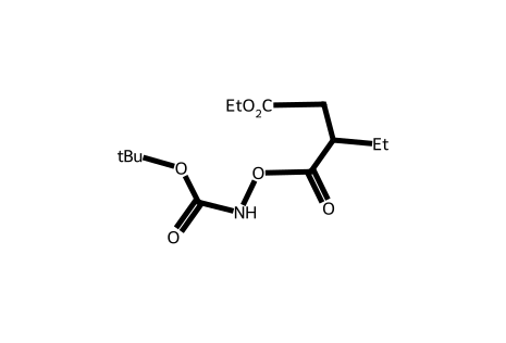 CCOC(=O)CC(CC)C(=O)ONC(=O)OC(C)(C)C